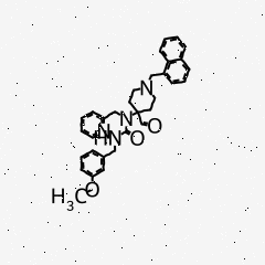 COc1cccc(CNC(=O)N(Cc2ccccn2)C2(C=O)CCN(Cc3cccc4ccccc34)CC2)c1